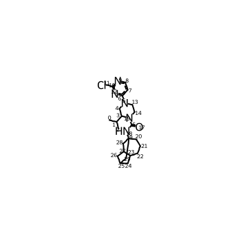 CC(C)C1CN(c2ccnc(Cl)n2)CCN1C(=O)NC12CCCC3CC(CC3C1)C2